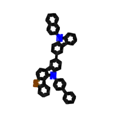 c1ccc(-c2ccc(-n3c4ccc(-c5ccc6c(c5)c5ccccc5n6-c5ccc6ccccc6c5)cc4c4ccc5sc6ccccc6c5c43)cc2)cc1